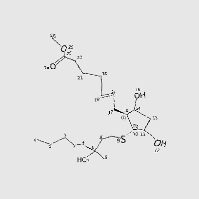 CCCCCC(C)(O)CS[C@H]1C(O)CC(O)[C@@H]1CC=CCCCC(=O)OC